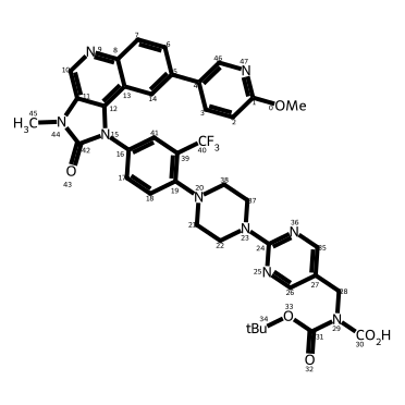 COc1ccc(-c2ccc3ncc4c(c3c2)n(-c2ccc(N3CCN(c5ncc(CN(C(=O)O)C(=O)OC(C)(C)C)cn5)CC3)c(C(F)(F)F)c2)c(=O)n4C)cn1